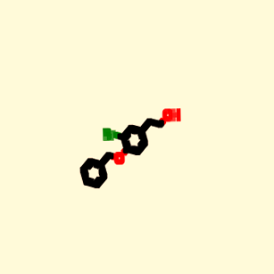 OCCc1ccc(OCc2ccccc2)c(Br)c1